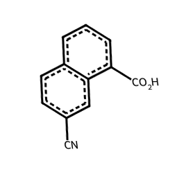 N#Cc1ccc2cccc(C(=O)O)c2c1